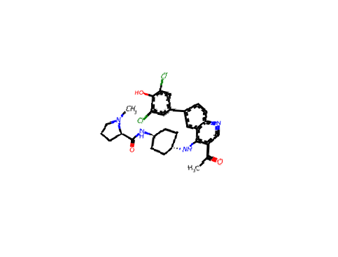 CC(=O)c1cnc2ccc(-c3cc(Cl)c(O)c(Cl)c3)cc2c1N[C@H]1CC[C@H](NC(=O)C2CCCN2C)CC1